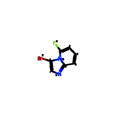 Fc1cccc2ncc(Br)n12